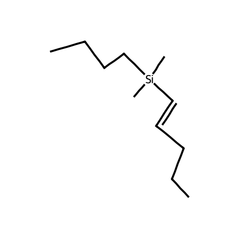 CCCC=C[Si](C)(C)CCCC